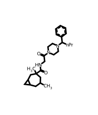 CCCC(c1ccccc1)N1CCN(C(=O)CNC(=O)C2(C)CC(C)CC3CC3C2)CC1